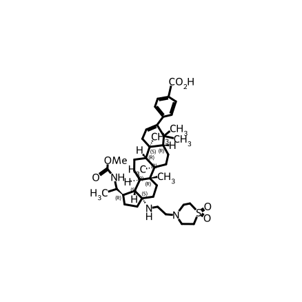 COC(=O)NC(C)[C@@H]1CC[C@]2(NCCN3CCS(=O)(=O)CC3)CC[C@]3(C)[C@H](CC[C@@H]4[C@@]5(C)CC=C(c6ccc(C(=O)O)cc6)C(C)(C)[C@@H]5CC[C@]43C)[C@@H]12